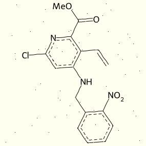 C=Cc1c(NCc2ccccc2[N+](=O)[O-])cc(Cl)nc1C(=O)OC